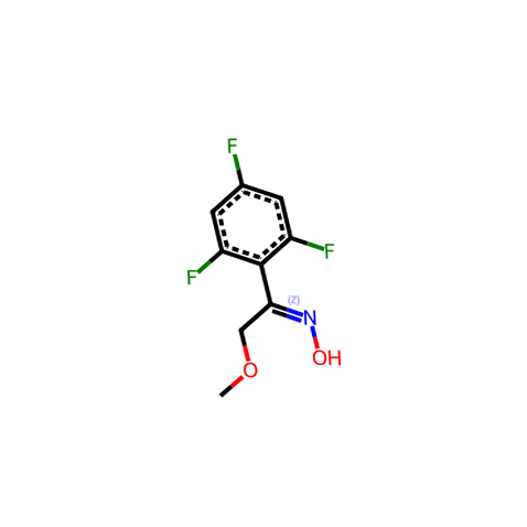 COC/C(=N\O)c1c(F)cc(F)cc1F